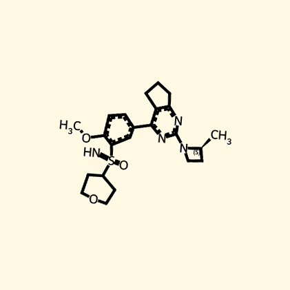 COc1ccc(-c2nc(N3CC[C@@H]3C)nc3c2CCC3)cc1S(=N)(=O)C1CCOCC1